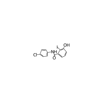 O=C(Nc1ccc(Cl)cc1)c1cccc(O)c1I